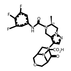 C[C@H]1Cn2ncc(N3CC4COCC(C3=O)N4CC(=O)O)c2CN1C(=O)Nc1cc(F)c(F)c(F)c1